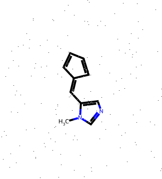 Cn1cncc1C=C1C=CC=C1